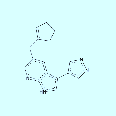 C1=C(Cc2cnc3[nH]cc(-c4cn[nH]c4)c3c2)CCC1